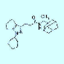 CC(NC(=O)CCc1nn(C2CCCCC2)c2c1CCCC2)C12CC3CC(CC(C3)C1)C2